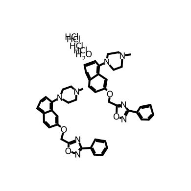 CN1CCN(c2cccc3ccc(OCc4nc(-c5ccccc5)no4)cc23)CC1.CN1CCN(c2cccc3ccc(OCc4nc(-c5ccccc5)no4)cc23)CC1.Cl.Cl.Cl.Cl.O